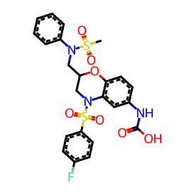 CS(=O)(=O)N(CC1CN(S(=O)(=O)c2ccc(F)cc2)c2cc(NC(=O)O)ccc2O1)c1ccccc1